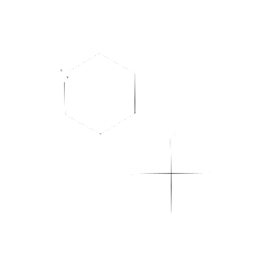 CC(C)(C)O[C@@H]1CCNC[C@@H]1F